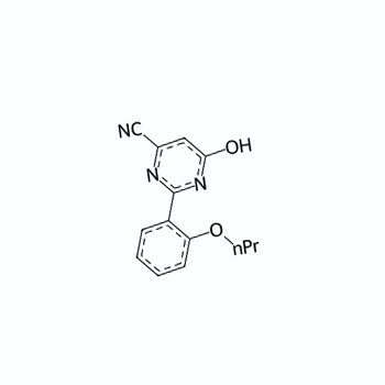 CCCOc1ccccc1-c1nc(O)cc(C#N)n1